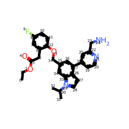 CCOC(=O)Cc1cc(F)ccc1OCc1cc(-c2ccnc(CN)c2)c2ccn(C(C)C)c2c1